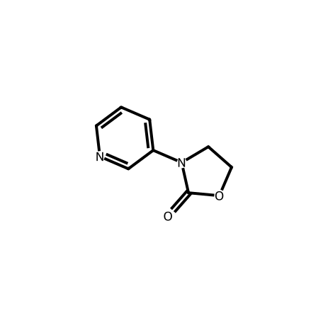 O=C1OCCN1c1cccnc1